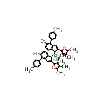 CCc1ccc2c(c1-c1ccc(C)cc1)C=C(c1cc(C)c(C)o1)[CH]2[Zr]([Cl])([Cl])([CH]1C(c2cc(C)c(C)o2)=Cc2c1ccc(CC)c2-c1ccc(C)cc1)=[Si](C)C